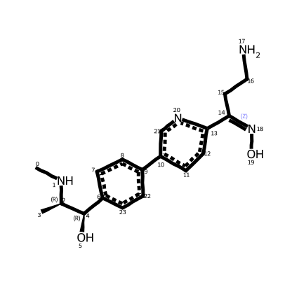 CN[C@H](C)[C@H](O)c1ccc(-c2ccc(/C(CCN)=N\O)nc2)cc1